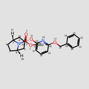 CC(C)(C)OC(=O)N1[C@@H]2CC[C@H]1C[C@@H](Oc1cccc(OCc3ccccc3)n1)C2